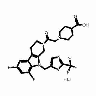 Cl.O=C(O)C1CCN(CC(=O)N2CCc3c(n(Cc4cnc(C(F)(F)F)s4)c4c(F)cc(F)cc34)C2)CC1